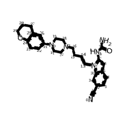 N#Cc1ccc2cc(NC(N)=O)n(CCCCN3CCN(c4ccc5c(c4)CCCO5)CC3)c2c1